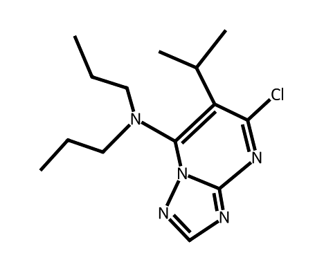 CCCN(CCC)c1c(C(C)C)c(Cl)nc2ncnn12